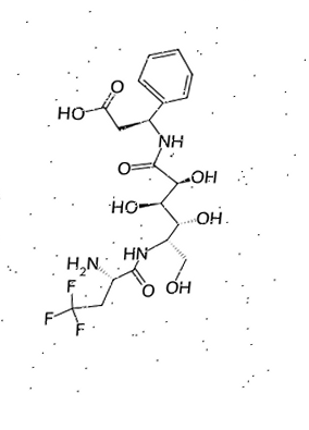 N[C@@H](CC(F)(F)F)C(=O)N[C@@H](CO)[C@@H](O)[C@@H](O)[C@H](O)C(=O)N[C@@H](CC(=O)O)c1ccccc1